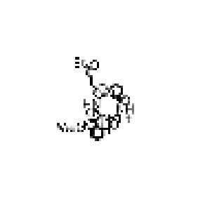 CCC(=O)CCCCC[C@@H]1NC(=O)C(c2cn(OC)c3ccccc23)NC(=O)C(CC)NC(=O)[C@@H]2CCCCN2C1=O